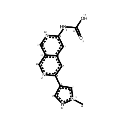 Cn1cc(-c2cc3cc(NC(=O)O)ncc3cn2)cn1